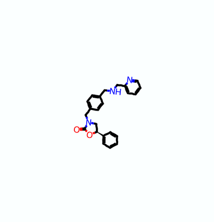 O=C1O[C@H](c2ccccc2)CN1Cc1ccc(CNCc2ccccn2)cc1